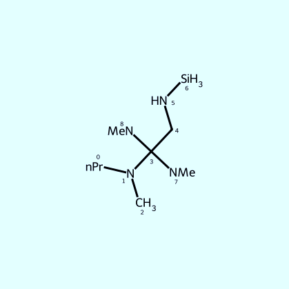 CCCN(C)C(CN[SiH3])(NC)NC